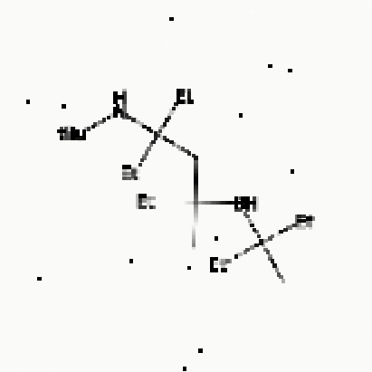 CCC(C)(BC(C)(CC)CC(CC)(CC)NC(C)(C)C)CC